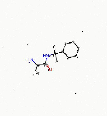 CC(C)[C@@H](N)C(=O)NC(C)(C)C1CCCCC1